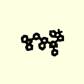 CC1(C)c2ccccc2-c2c(-c3cc(-c4ccc(-c5cccc(-n6c7ccccc7c7ccccc76)c5)c5ccccc45)nc(-c4ccccc4)n3)cccc21